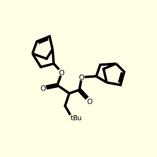 CC(C)(C)CC(C(=O)OC1CC2C=CC1C2)C(=O)OC1CC2C=CC1C2